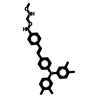 CONCONc1ccc(C=Cc2ccc(N(c3ccc(C)c(C)c3)c3ccc(C)c(C)c3)cc2)cc1